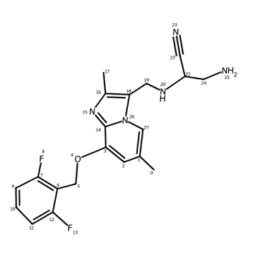 Cc1cc(OCc2c(F)cccc2F)c2nc(C)c(CNC(C#N)CN)n2c1